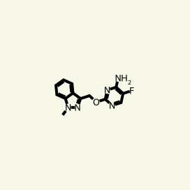 Cn1nc(COc2ncc(F)c(N)n2)c2ccccc21